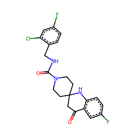 O=C1CC2(CCN(C(=O)NCc3ccc(F)cc3Cl)CC2)Nc2ccc(F)cc21